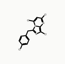 Clc1ccc(Cc2nc(Cl)c3nc(Cl)cc(Cl)n23)cc1